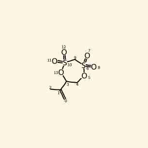 C=C(C)C1COS(=O)(=O)CS(=O)(=O)O1